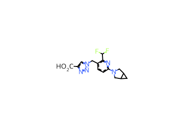 O=C(O)c1cn(Cc2ccc(N3CC4CC4C3)nc2C(F)F)nn1